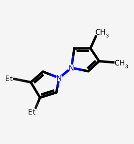 CCc1cn(-n2cc(C)c(C)c2)cc1CC